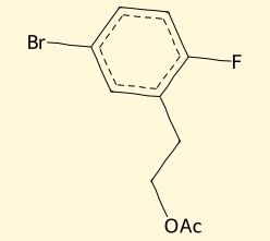 CC(=O)OCCc1cc(Br)ccc1F